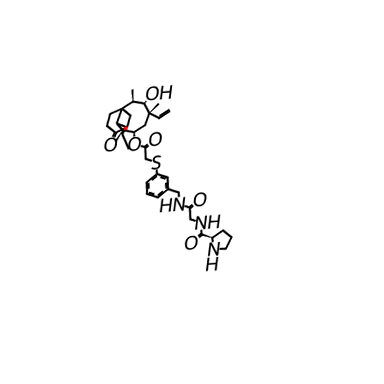 C=C[C@]1(C)C[C@@H](OC(=O)CSc2cccc(CNC(=O)CNC(=O)[C@H]3CCCN3)c2)[C@]2(C)C(C)CC34CC(CCC3=O)(C42)[C@@H](C)[C@@H]1O